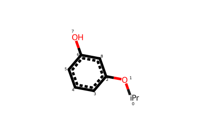 CC(C)Oc1cc[c]c(O)c1